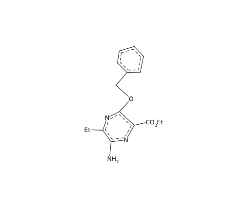 CCOC(=O)c1nc(N)c(CC)nc1OCc1ccccc1